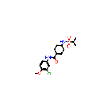 COc1ccc(NC(=O)C2CCC(NS(=O)(=O)C(C)C)CC2)cc1Cl